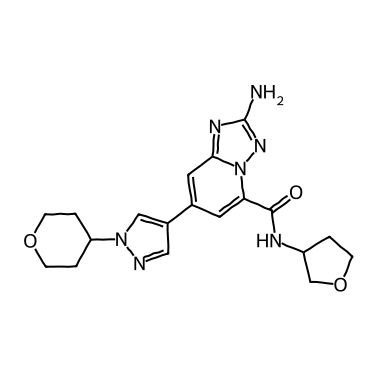 Nc1nc2cc(-c3cnn(C4CCOCC4)c3)cc(C(=O)NC3CCOC3)n2n1